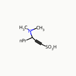 CCCC(C#CS(=O)(=O)O)N(C)C